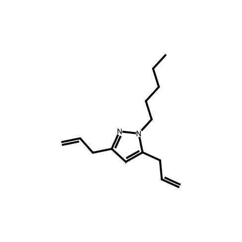 C=CCc1[c]c(CC=C)n(CCCCC)n1